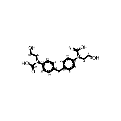 O=C(O)N(CCO)c1ccc(Cc2ccc(N(CCO)C(=O)O)cc2)cc1